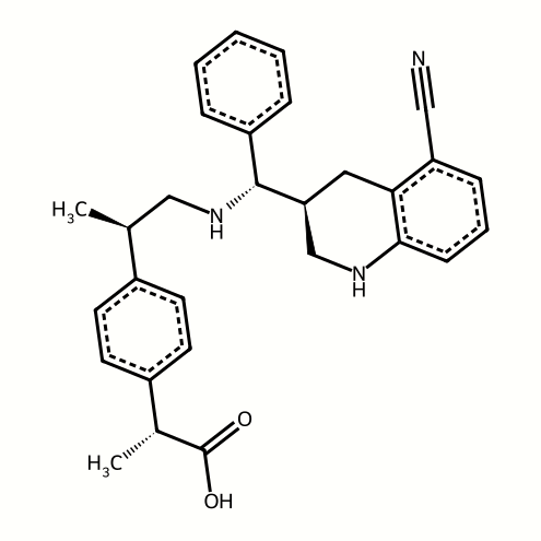 C[C@@H](CN[C@H](c1ccccc1)[C@@H]1CNc2cccc(C#N)c2C1)c1ccc([C@@H](C)C(=O)O)cc1